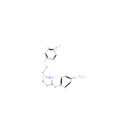 COc1ccc(CC2CCN(CCOc3ccc(Cl)cc3)N2)cc1